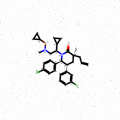 C=CC[C@@]1(C)C[C@H](c2cccc(Cl)c2)[C@@H](c2ccc(Cl)cc2)N(C(CN(C)SC2CC2)C2CC2)C1=O